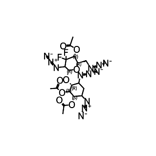 CC(=O)O[C@H]1[C@H](O[C@H]2O[C@H](CN=[N+]=[N-])[C@@H](OC(C)=O)C(F)(F)C2N=[N+]=[N-])C(N=[N+]=[N-])CC(N=[N+]=[N-])[C@@H]1OC(C)=O